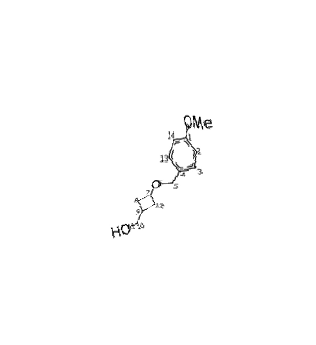 COc1ccc(COC2CC(CO)C2)cc1